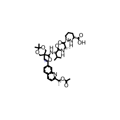 CC(=O)O[C@H](C)c1ccc2ccc(/C=C/C3(C(=O)N[C@H](C(=O)N[C@@H](C)C(=O)N4CCC[C@@H](C(=O)O)N4)C(C)C)COC(C)(C)OC3)cc2n1